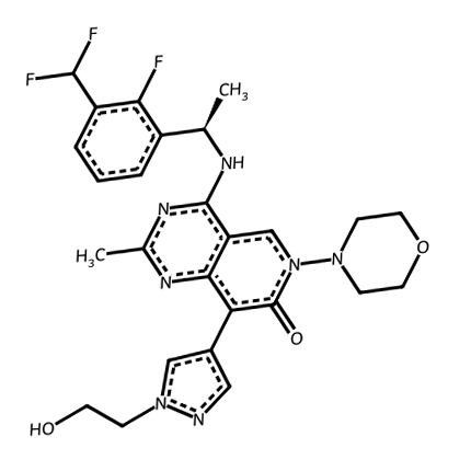 Cc1nc(N[C@H](C)c2cccc(C(F)F)c2F)c2cn(N3CCOCC3)c(=O)c(-c3cnn(CCO)c3)c2n1